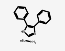 CCCCN.c1ccc(-c2nc[nH]c2-c2ccccc2)cc1